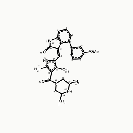 COc1cccc(-c2cccc3c2C(=Cc2[nH]c(C)c(C(=O)N4CC(C)NC(C)C4)c2C)C(=O)N3)c1